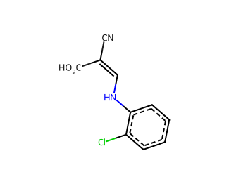 N#CC(=CNc1ccccc1Cl)C(=O)O